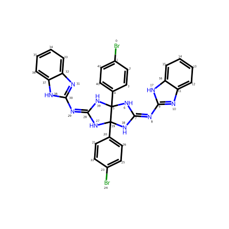 Brc1ccc(C23NC(=Nc4nc5ccccc5[nH]4)NC2(c2ccc(Br)cc2)NC(=Nc2nc4ccccc4[nH]2)N3)cc1